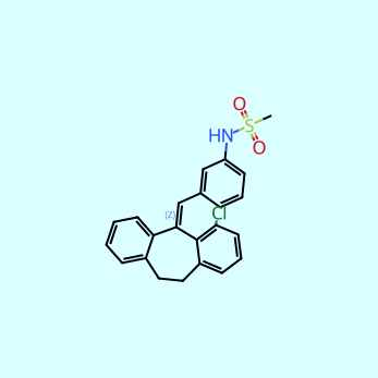 CS(=O)(=O)Nc1cccc(/C=C2/c3ccccc3CCc3cccc(Cl)c32)c1